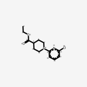 CCOC(=O)C1CCN(c2cccc(Cl)n2)CC1